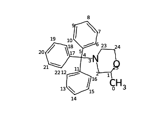 CC1CN(C(c2ccccc2)(c2ccccc2)c2ccccc2)CCO1